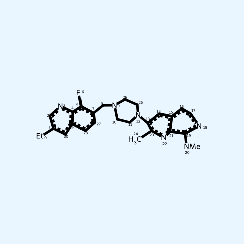 CCc1cnc2c(F)c(CN3CCN(c4cc5ccnc(NC)c5nc4C)CC3)ccc2c1